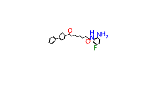 Nc1ccc(F)cc1NC(=O)CCCCCCC(=O)c1ccc(-c2ccccc2)cc1